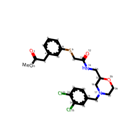 COC(=O)Cc1cccc(SCC(=O)NCC2CN(Cc3ccc(Cl)c(Cl)c3)CCO2)c1